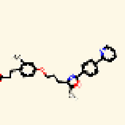 Cc1cc(OCCCc2nc(-c3ccc(-c4ccccn4)cc3)oc2C)ccc1CCC(=O)O